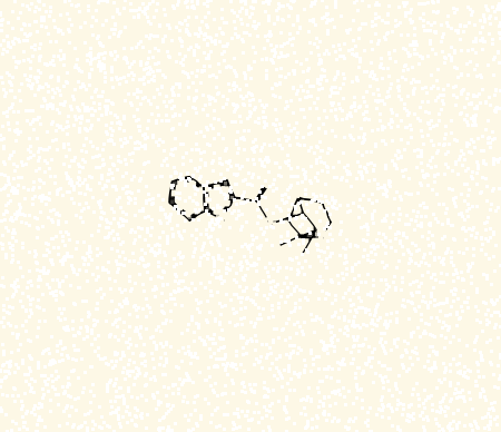 CC1(C)C(NC(=O)c2cc3ccccc3[nH]2)C2CCN1CC2